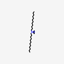 C=CC.CCCCCCCCCCCCNCCCCCCCCCCCC